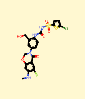 CNc1cc2c(cc1F)C(=O)N(c1ccc(NC(=O)NS(=O)(=O)c3ccc(Cl)s3)c(CO)c1)CO2